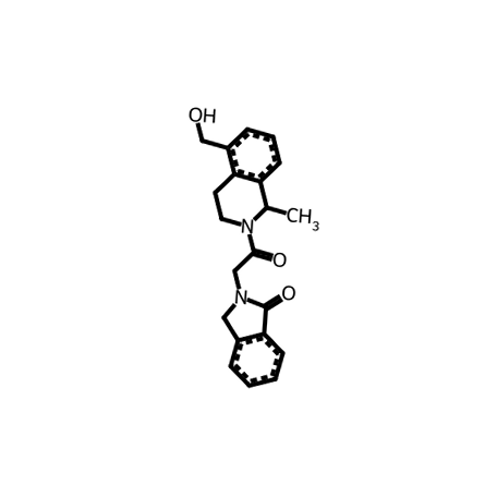 CC1c2cccc(CO)c2CCN1C(=O)CN1Cc2ccccc2C1=O